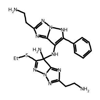 CCSC1=Nn2nc(CCN)nc2C1(N)Nc1c(-c2ccccc2)[nH]n2nc(CCN)nc12